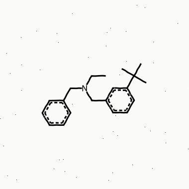 CCN(Cc1ccccc1)Cc1cccc(C(C)(C)C)c1